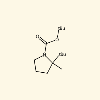 CC(C)(C)OC(=O)N1CCCC1(C)C(C)(C)C